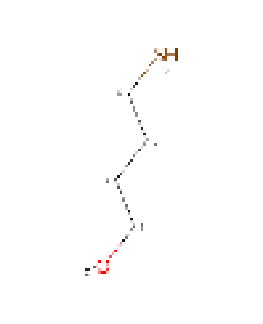 [O]CCCCS